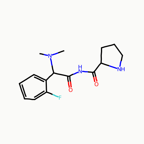 CN(C)C(C(=O)NC(=O)C1CCCN1)c1ccccc1F